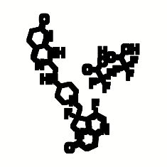 O=C(O)C(F)(F)F.O=C(O)C(F)(F)F.O=C1CCC2=CN=C(CNC3CCN(C[C@]4(F)Cn5c(=O)ccc6ncc(F)c4c65)CC3)NC2=N1